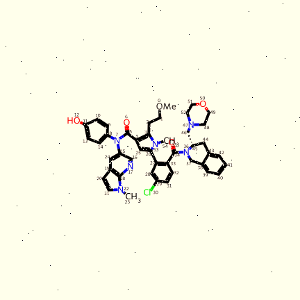 COCCc1c(C(=O)N(c2ccc(O)cc2)c2cnc3c(ccn3C)c2)cc(-c2cc(Cl)ccc2C(=O)N2Cc3ccccc3C[C@H]2CN2CCOCC2)n1C